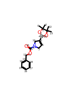 CC1(C)OB(C2=CCN(C(=O)OCc3ccccc3)C2)OC1(C)C